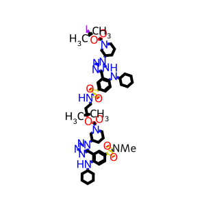 CNS(=O)(=O)c1ccc(NC2CCCCC2)c(-c2nnnn2C2CCCN(C(=O)OC(C)(C)CCNS(=O)(=O)c3ccc(NC4CCCCC4)c(-c4nnn(C5CCCN(C(=O)OC(C)(C)I)C5)n4)c3)C2)c1